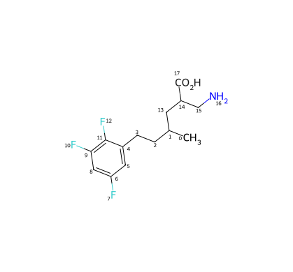 CC(CCc1cc(F)cc(F)c1F)CC(CN)C(=O)O